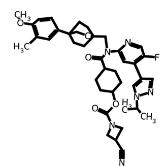 COc1ccc(C23CCC(CN(C(=O)C4CCC(OC(=O)N5CC(C#N)C5)CC4)c4cc(-c5cnn(C(C)C)c5)c(F)cn4)(CC2)CC3)cc1C